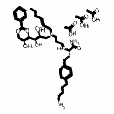 CC(=O)O.CC(=O)O.CC(=O)O.CCCCCCN(CCCN[C@@H](CCc1ccc(CCCCN)cc1)C(N)=O)C[C@H](O)[C@@H](O)[C@@H]1OC(c2ccccc2)OC[C@H]1O